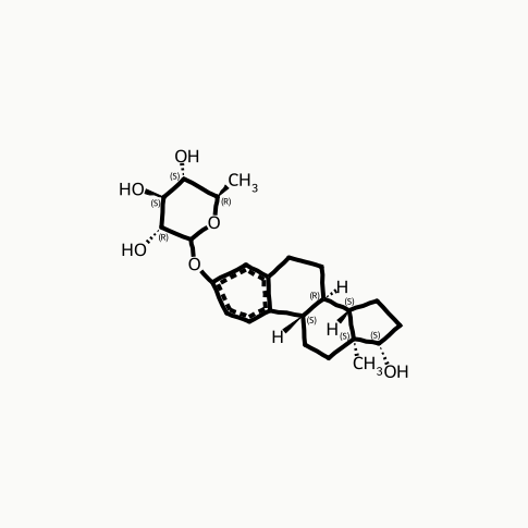 C[C@H]1OC(Oc2ccc3c(c2)CC[C@@H]2[C@@H]3CC[C@]3(C)[C@@H](O)CC[C@@H]23)[C@H](O)[C@@H](O)[C@@H]1O